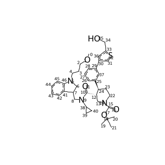 COCCCN1CC(CN(C(=O)[C@H]2CN(C(=O)OC(C)(C)C)CC[C@@H]2c2cccc(-c3csc(CO)c3)c2)C2CC2)c2ccccc21